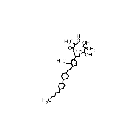 C=C(CO)C(=O)OCC(COC(O)C(=C)CO)c1ccc(CCC2CCC(C3CCC(CCCCC)CC3)CC2)c(CC)c1